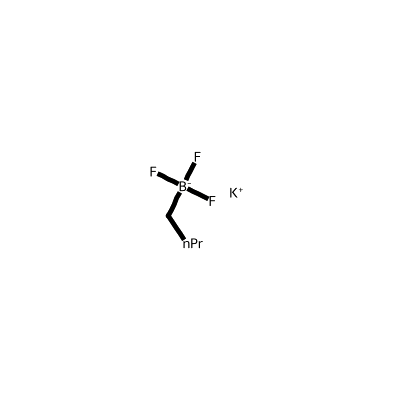 CCCC[B-](F)(F)F.[K+]